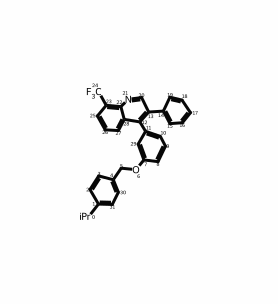 CC(C)c1ccc(COc2cccc(-c3c(-c4ccccc4)cnc4c(C(F)(F)F)cccc34)c2)cc1